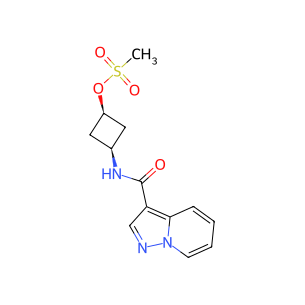 CS(=O)(=O)O[C@H]1C[C@@H](NC(=O)c2cnn3ccccc23)C1